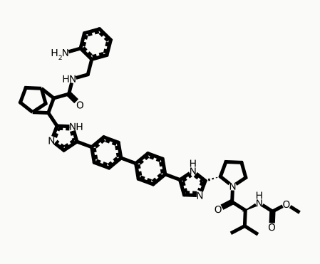 COC(=O)N[C@H](C(=O)N1CCC[C@H]1c1ncc(-c2ccc(-c3ccc(-c4cnc(C5C6CCC(C6)C5C(=O)NCc5ccccc5N)[nH]4)cc3)cc2)[nH]1)C(C)C